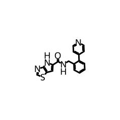 O=C(NCc1ccccc1-c1ccncc1)c1cc2scnc2[nH]1